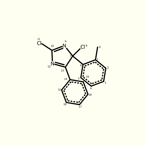 Cc1ccccc1C1(Cl)N=C(Cl)N=C1c1ccccc1